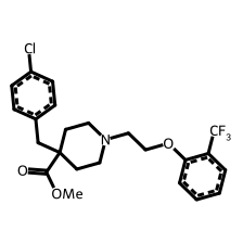 COC(=O)C1(Cc2ccc(Cl)cc2)CCN(CCOc2ccccc2C(F)(F)F)CC1